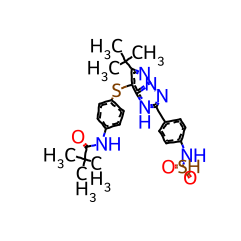 CC(C)(C)C(=O)Nc1ccc(Sc2c(C(C)(C)C)nn3nc(-c4ccc(N[SH](=O)=O)cc4)[nH]c23)cc1